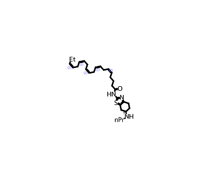 CC/C=C\C/C=C\C/C=C\C/C=C\C/C=C\CCCC(=O)Nc1nc2c(s1)C[C@H](NCCC)CC2